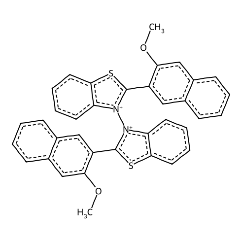 COc1cc2ccccc2cc1-c1sc2ccccc2[n+]1-[n+]1c(-c2cc3ccccc3cc2OC)sc2ccccc21